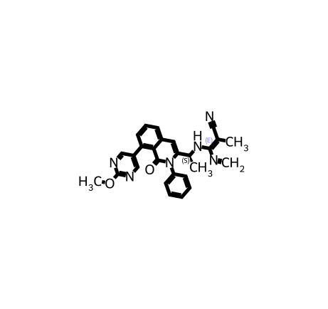 C=N/C(N[C@@H](C)c1cc2cccc(-c3cnc(OC)nc3)c2c(=O)n1-c1ccccc1)=C(\C)C#N